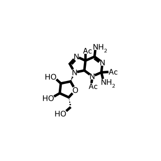 CC(=O)N1C2N([C@@H]3O[C@H](CO)C(O)C3O)C=NC2(C(C)=O)C(N)=NC1(N)C(C)=O